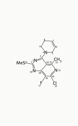 CSc1nc(N2CC=CCC2)c2c(C)nc(Cl)c(F)c2n1